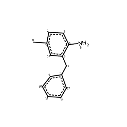 Cc1ccc(N)c(Cc2ccccc2)c1